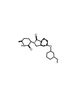 C=C1CCC(N2Cc3cc(OC4CCCN(CC)C4)ccc3C2=O)C(=O)N1